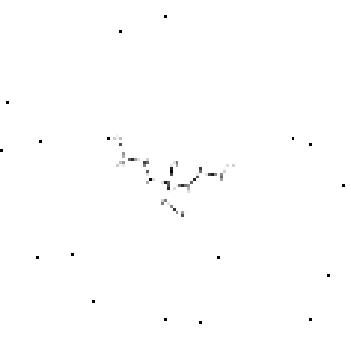 C[C]C(C)(CCCC)CCCC